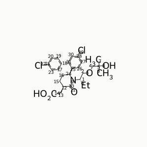 CC[C@@H](COCC(C)(C)O)N1C(=O)[C@@H](CC(=O)O)C[C@H](c2cccc(Cl)c2)[C@H]1c1ccc(Cl)cc1